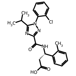 Cc1ccccc1[C@H](CC(=O)O)NC(=O)c1nc(C(C)C)n(-c2ccccc2Cl)n1